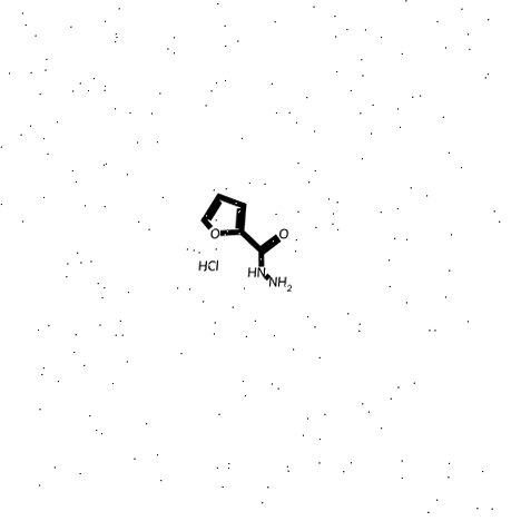 Cl.NNC(=O)c1ccco1